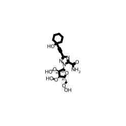 NC(=O)c1nc(C#CC2(O)CCCCC2)nn1[C@@H]1O[C@H](COO)[C@@H](OO)[C@H]1OO